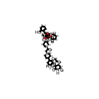 Nc1nnc(-c2ccccc2O)cc1N1C[C@H]2CC[C@@H](C1)N2c1cccc(OC2CCN(C(=O)CN3CCC(c4cccc5c4OCC(=O)N5[C@]4([SiH3])CCC(=O)NC4=O)CC3)CC2)c1